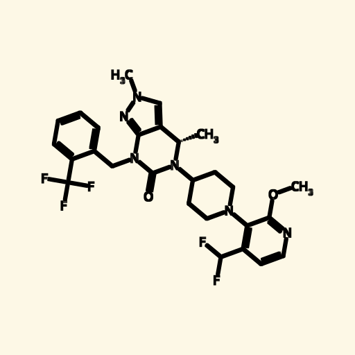 COc1nccc(C(F)F)c1N1CCC(N2C(=O)N(Cc3ccccc3C(F)(F)F)c3nn(C)cc3[C@@H]2C)CC1